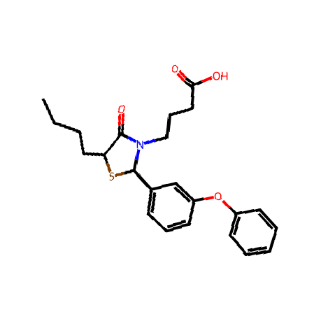 CCCCC1SC(c2cccc(Oc3ccccc3)c2)N(CCCC(=O)O)C1=O